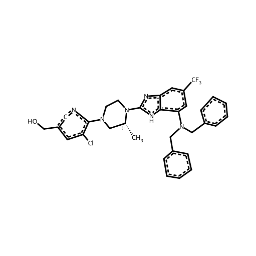 C[C@@H]1CN(c2ncc(CO)cc2Cl)CCN1c1nc2cc(C(F)(F)F)cc(N(Cc3ccccc3)Cc3ccccc3)c2[nH]1